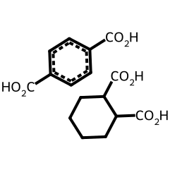 O=C(O)C1CCCCC1C(=O)O.O=C(O)c1ccc(C(=O)O)cc1